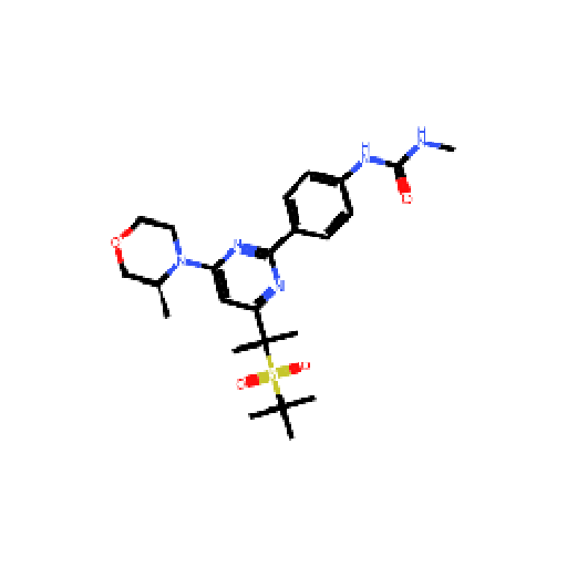 CNC(=O)Nc1ccc(-c2nc(N3CCOC[C@@H]3C)cc(C(C)(C)S(=O)(=O)C(C)(C)C)n2)cc1